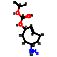 CC(C)OC(=O)OC1/C=C/CCC(N)CC1